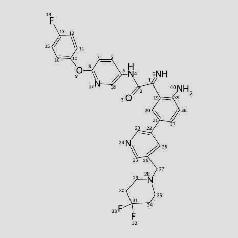 N=C(C(=O)Nc1ccc(Oc2ccc(F)cc2)nc1)c1cc(-c2cncc(CN3CCC(F)(F)CC3)c2)ccc1N